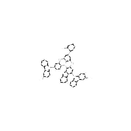 CC(C)(C)c1ccccc1-c1cc2c3c(c1)Nc1cc(-n4c5ccccc5c5cc(C#N)ccc54)c4c(sc5ccccc54)c1B3c1ccc(-n3c4ccccc4c4cc(C#N)ccc43)cc1N2